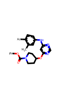 CC(=O)c1ccc(Nc2cc(OC3CCN(C(=O)OC(C)C)CC3)ncn2)cc1C